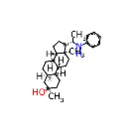 CC(Nc1ccccc1)[C@H]1CC[C@H]2[C@@H]3CC[C@@H]4C[C@](C)(O)CC[C@@H]4[C@H]3CC[C@]12C